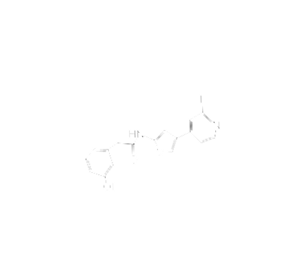 O=C(Cc1cccc(O)c1)Nc1cc(-c2ccnc(F)c2)cs1